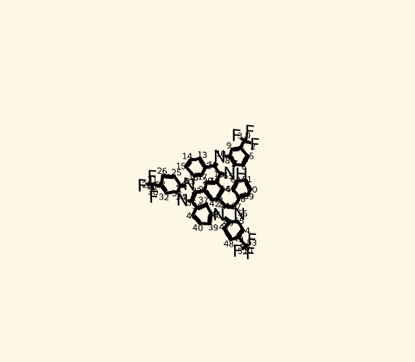 FC(F)(F)c1ccc2c(c1)N=C(c1ccccc1)C(c1cc(-c3nc4ccc(C(F)(F)F)cc4nc3-c3ccccc3)cc(-c3nc4ccc(C(F)(F)F)cc4nc3-c3ccccc3)c1)N2